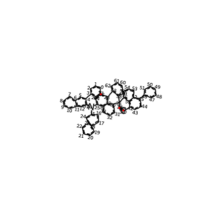 c1ccc(-c2cc3ccccc3cc2N(c2ccc3ccccc3c2)c2ccc3c4c(cccc24)C2(c4ccccc4-c4ccc(-c5ccccc5)c5cccc2c45)c2ccccc2-3)cc1